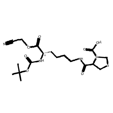 CC(C)(C)OC(=O)N[C@@H](CCCCNC(=O)C1CSCN1C(=O)O)C(=O)OCC#N